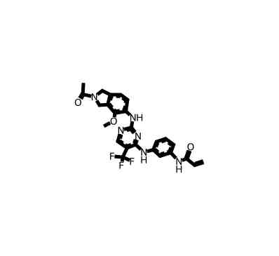 C=CC(=O)Nc1cccc(Nc2nc(Nc3ccc4c(c3OC)CN(C(C)=O)C4)ncc2C(F)(F)F)c1